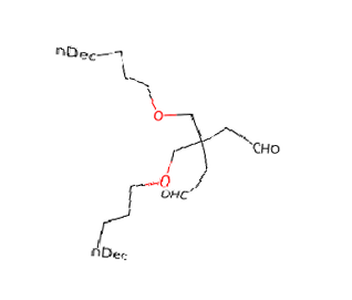 CCCCCCCCCCCCCOCC(CC=O)(CC=O)COCCCCCCCCCCCCC